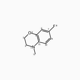 CN1CCOc2cc(F)[c]cc21